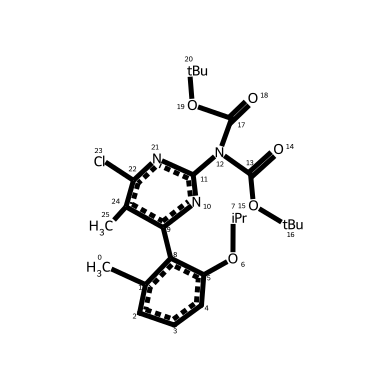 Cc1cccc(OC(C)C)c1-c1nc(N(C(=O)OC(C)(C)C)C(=O)OC(C)(C)C)nc(Cl)c1C